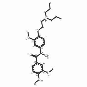 CCC[SH](CCC)CCOc1ccc(C(O)C(=O)c2ccc(OC)c(OC)c2)cc1OC